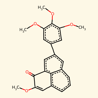 COC1=Cc2cccc3cc(-c4cc(OC)c(OC)c(OC)c4)cc(c23)C1=O